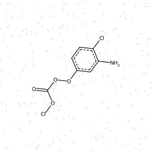 Nc1cc(OOC(=O)OCl)ccc1Cl